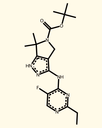 CCc1ncc(F)c(Nc2n[nH]c3c2CN(C(=O)OC(C)(C)C)C3(C)C)n1